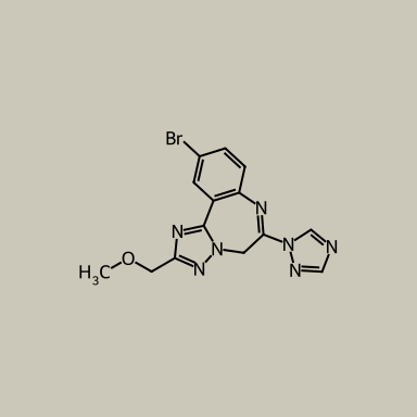 COCc1nc2n(n1)CC(n1cncn1)=Nc1ccc(Br)cc1-2